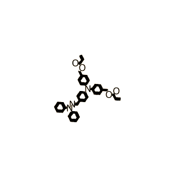 C=CC(=O)OCc1ccc(N(c2ccc(C=NN(c3ccccc3)c3ccccc3)cc2)c2ccc(COC(=O)C=C)cc2)cc1